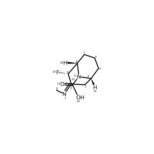 CN=C1C[C@H]2CCC[C@@H]([C@H]1F)N2C(=O)O